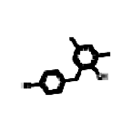 Cc1cc(C)c(O)c(Cc2ccc(O)cc2)c1